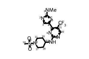 CNc1ncc(-c2nc(NC3CCN(S(C)(=O)=O)CC3)ncc2C(F)(F)F)s1